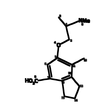 CNC(C)COc1cc(C(=O)O)c2c(c1C)CCC2